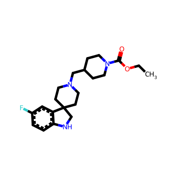 CCOC(=O)N1CCC(CN2CCC3(CC2)CNc2ccc(F)cc23)CC1